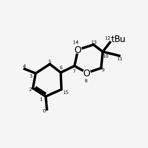 CC1=CC(C)CC(C2OCC(C)(C(C)(C)C)CO2)C1